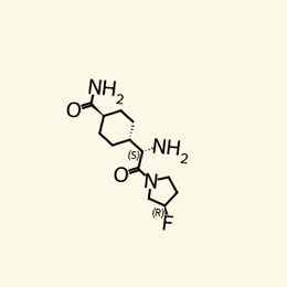 NC(=O)[C@H]1CC[C@H]([C@H](N)C(=O)N2CC[C@@H](F)C2)CC1